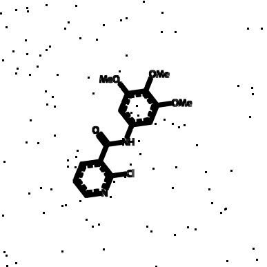 COc1cc(NC(=O)c2cccnc2Cl)cc(OC)c1OC